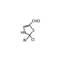 O=CC1=CNC(Cl)(Br)S1